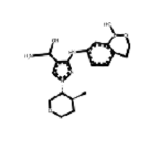 C[C@H]1CCOC[C@@H]1n1cc(C(N)O)c(Nc2ccc3c(c2)B(O)OCC3)n1